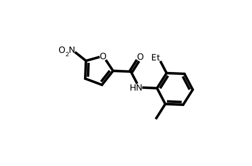 CCc1cccc(C)c1NC(=O)c1ccc([N+](=O)[O-])o1